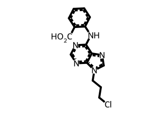 O=C(O)c1ccccc1Nc1ncnc2c1ncn2CCCCl